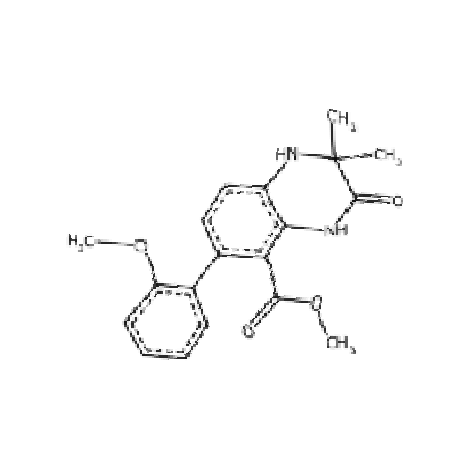 COC(=O)c1c(-c2ccccc2OC)ccc2c1NC(=O)C(C)(C)N2